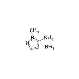 Cn1nccc1N.N